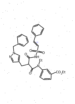 CCOC(=O)c1cccc(N(CC)C(=O)C(Cc2cnn(Cc3ccccc3)c2)C(=O)NS(=O)(=O)/C=C/c2ccccc2)c1